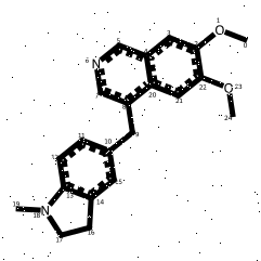 COc1cc2cncc(Cc3ccc4c(c3)CCN4C)c2cc1OC